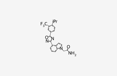 CC(C)c1ccc(-c2nc(-c3cccc4c3ccn4CC(N)=O)no2)cc1C(F)(F)F